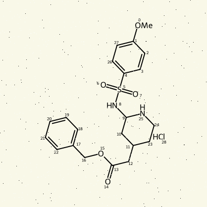 COc1ccc(S(=O)(=O)NC2CC(CC(=O)OCc3ccccc3)CCN2)cc1.Cl